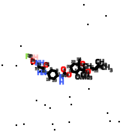 COC1C(OC(=O)N[C@H]2CC[C@H](NC(=O)CNOBF)CC2)CC[C@]2(CO2)C1C(C)(C)OCC=C(C)C